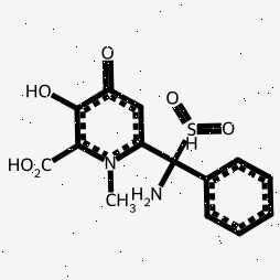 Cn1c(C(N)(c2ccccc2)[SH](=O)=O)cc(=O)c(O)c1C(=O)O